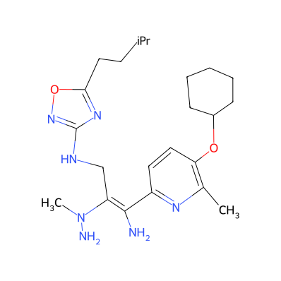 Cc1nc(/C(N)=C(\CNc2noc(CCC(C)C)n2)N(C)N)ccc1OC1CCCCC1